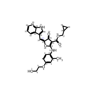 Cc1cc(OCCO)ccc1NC1=C(C(=O)OCC2CC2)C(=O)/C(=C\c2c[nH]c3ncccc23)O1